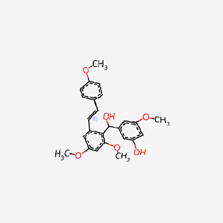 COc1ccc(/C=C/c2cc(OC)cc(OC)c2C(O)c2cc(O)cc(OC)c2)cc1